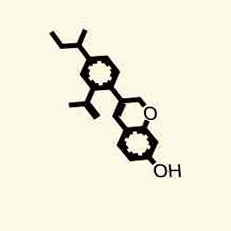 C=C(C)c1cc(C(C)CC)ccc1C1=Cc2ccc(O)cc2OC1